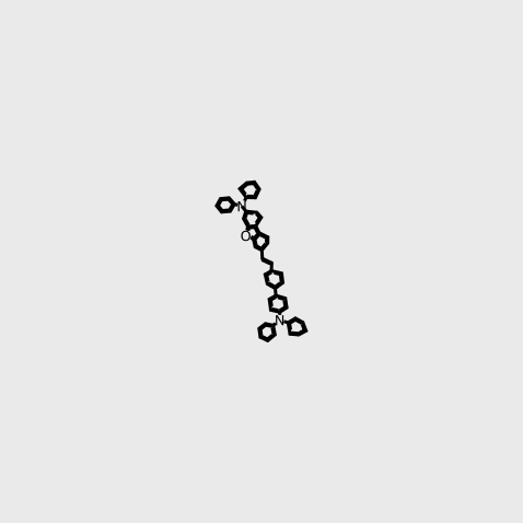 C(=C\c1ccc2c(c1)oc1cc(N(c3ccccc3)c3ccccc3)ccc12)/c1ccc(-c2ccc(N(c3ccccc3)c3ccccc3)cc2)cc1